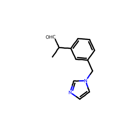 CC(C=O)c1cccc(Cn2ccnc2)c1